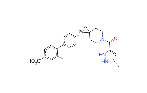 Cc1cc(C(=O)O)ccc1-c1ccc([C@@H]2CC23CCN(C(=O)C2=CN(C)NN2)CC3)cc1